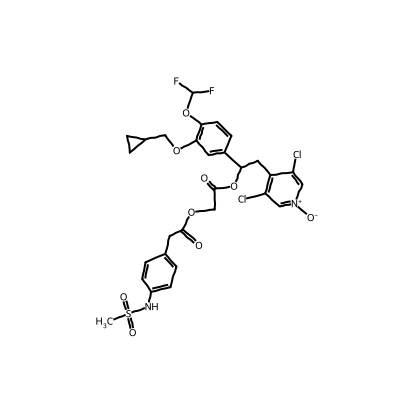 CS(=O)(=O)Nc1ccc(CC(=O)OCC(=O)OC(Cc2c(Cl)c[n+]([O-])cc2Cl)c2ccc(OC(F)F)c(OCC3CC3)c2)cc1